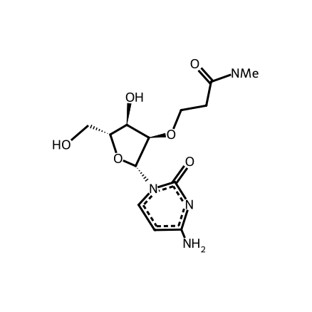 CNC(=O)CCO[C@@H]1[C@H](O)[C@@H](CO)O[C@H]1n1ccc(N)nc1=O